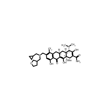 CO[C@@]12CC(C(N)=O)=C(O)[C@@H](N(C)C)[C@@H]1C[C@@H]1Cc3c(c(O)cc(CN(CC4CC4)CC4CCOC4)c3C(F)(F)F)C(=O)C1=C2O